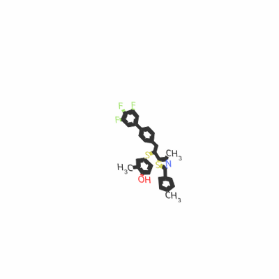 Cc1ccc(-c2nc(C)c(C(Cc3ccc(-c4cc(F)c(F)c(F)c4)cc3)Sc3ccc(O)c(C)c3)s2)cc1